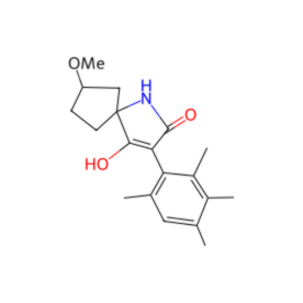 COC1CCC2(C1)NC(=O)C(c1c(C)cc(C)c(C)c1C)=C2O